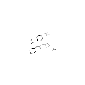 O=C(NC1CC(OC(F)F)C1)[C@@H](c1cncnc1)N(C(=O)[C@H](F)Cl)c1ccc(OC(F)(F)F)cc1